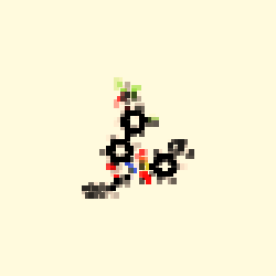 CC(C)(C)CC1CN(S(=O)(=O)c2cccc(C(F)(F)F)c2)c2cc(-c3cc(F)cc(OC(F)F)c3)ccc2O1